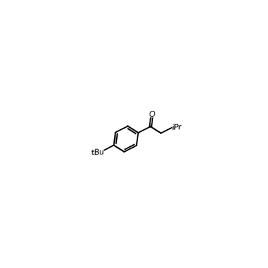 CC(C)CC(=O)c1ccc(C(C)(C)C)cc1